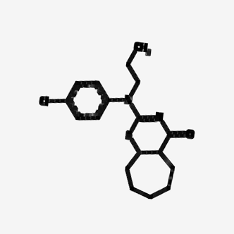 CCCN(C1=NC(=O)C2CCCCCC2S1)c1ccc(Cl)cc1